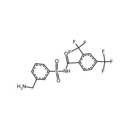 NCc1cccc(S(=O)(=O)NC(=O)c2ccc(C(F)(F)F)cc2C(F)(F)F)c1